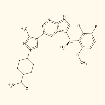 COc1ccc(F)c(Cl)c1[C@@H](C)c1c[nH]c2ncc(-c3cn(C4CCC(C(N)=O)CC4)nc3C)cc12